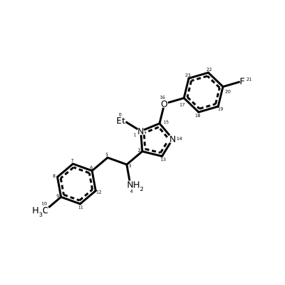 CCn1c(C(N)Cc2ccc(C)cc2)cnc1Oc1ccc(F)cc1